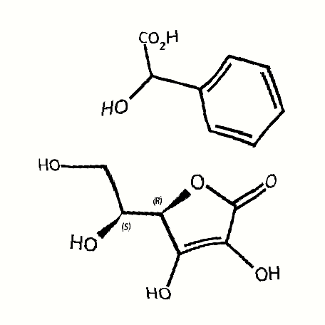 O=C(O)C(O)c1ccccc1.O=C1O[C@H]([C@@H](O)CO)C(O)=C1O